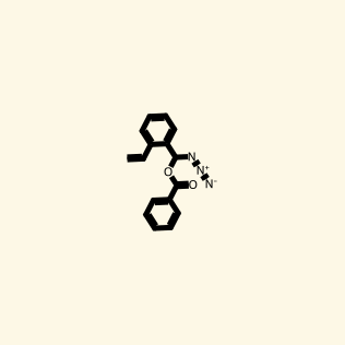 C=Cc1ccccc1C(N=[N+]=[N-])OC(=O)c1ccccc1